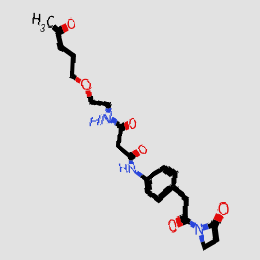 CC(=O)CCCOCCNC(=O)CC(=O)Nc1ccc(CC(=O)N2CCC2=O)cc1